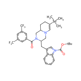 CC(C)(C)OC(=O)n1cc(CC2CN3C=[C]([Sn]([CH3])([CH3])[CH3])CCC3CN2C(=O)c2cc(C(F)(F)F)cc(C(F)(F)F)c2)c2ccccc21